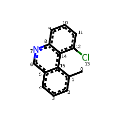 Cc1cccc2cnc3cccc(Cl)c3c12